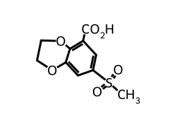 CS(=O)(=O)c1cc2c(c(C(=O)O)c1)OCCO2